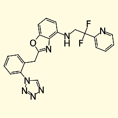 FC(F)(CNc1cccc2oc(Cc3ccccc3-n3cnnn3)nc12)c1ccccn1